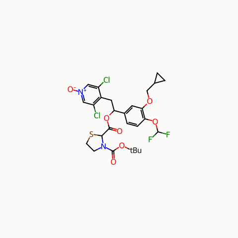 CC(C)(C)OC(=O)N1CCSC1C(=O)OC(Cc1c(Cl)c[n+]([O-])cc1Cl)c1ccc(OC(F)F)c(OCC2CC2)c1